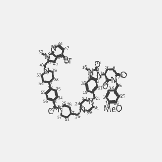 COc1ccc(CN2C(=O)CCC(n3c(=O)n(C)c4ccc(CN5CCN(CC6CCN(C(=O)c7ccc(C8CCN(Cc9cc%10c(Br)ccnc%10n9C)CC8)cc7)CC6)CC5)cc43)C2=O)cc1